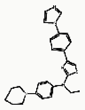 CCN(c1ccc(N2CCCCC2)cc1)c1nc(-c2ccc(-n3ccnc3)cc2)cs1